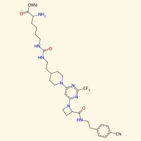 COC(=O)C(N)CCCCNC(=O)NCCC1CCN(c2cc(N3CCC3C(=O)NCCc3ccc(C#N)cc3)nc(C(F)(F)F)n2)CC1